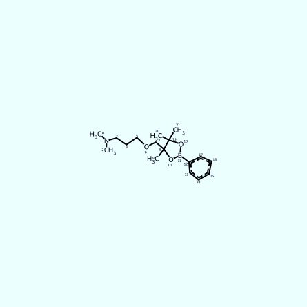 CN(C)CCCOCC1(C)OB(c2ccccc2)OC1(C)C